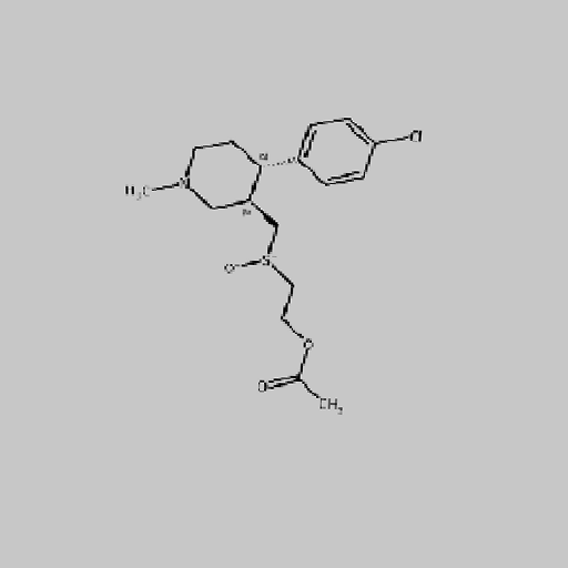 CC(=O)OCC[S+]([O-])C[C@H]1CN(C)CC[C@@H]1c1ccc(Cl)cc1